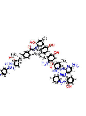 CCc1ccc(N)c(O)c1.CNc1ccc(O)cc1.COC(=O)c1cccc(C(=O)O)c1.Cc1cc(O)ccc1N.Cc1ccc(N)c(O)c1.Cc1cccc(N)c1O.Nc1ccc(/N=N/c2ccccc2)c(N)n1.Nc1ccc(N)cc1.Nc1ccccc1O